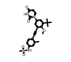 COc1c(C#Cc2ccc(NS(C)(=O)=O)cc2C)cc(-n2ccc(=O)[nH]c2=O)cc1C(C)(C)C